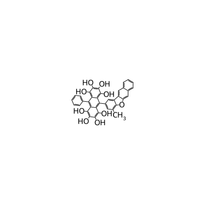 Cc1cc(-c2c3c(O)c(O)c(O)c(O)c3c(-c3ccccc3)c3c(O)c(O)c(O)c(O)c23)cc2c1oc1cc3ccccc3cc12